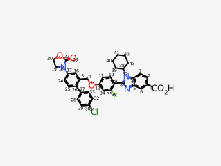 O=C(O)c1ccc2c(c1)nc(-c1ccc(OCc3cc(N4CCOC4=O)ccc3-c3ccc(Cl)cc3)cc1F)n2C1CCCCC1